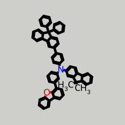 CC1(C)c2ccccc2-c2ccc(N(c3ccc(-c4ccc5c(c4)-c4ccccc4C5(c4ccccc4)c4ccccc4)cc3)c3cccc(-c4cccc5c4oc4ccccc45)c3)cc21